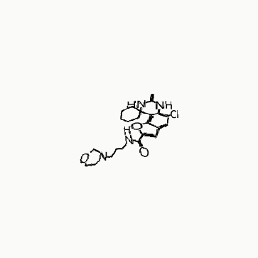 C=C1Nc2c(Cl)cc3cc(C(=O)NCCCN4CCOCC4)oc3c2C2(CCCCC2)N1